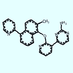 Cc1ccc2c(-c3ccccn3)cccc2c1Oc1ncccc1-c1ccnc(N)n1